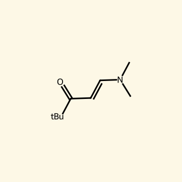 CN(C)C=CC(=O)C(C)(C)C